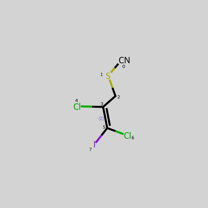 N#CSC/C(Cl)=C(\Cl)I